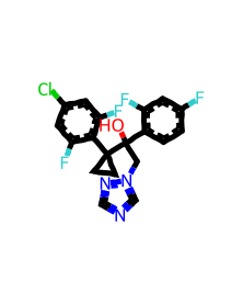 OC(Cn1cncn1)(c1ccc(F)cc1F)C1(c2c(F)cc(Cl)cc2F)CC1